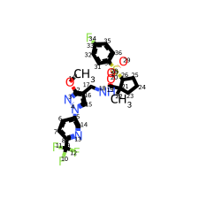 COc1nn(-c2ccc(C(F)(F)F)nc2)cc1CNC(=O)C1(C)CCCC1S(=O)(=O)c1ccc(F)cc1